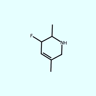 CC1=CC(F)C(C)NC1